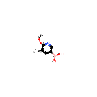 CC(C)Oc1ncc(B(O)O)cc1C#N